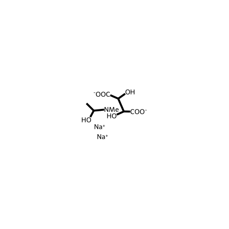 CNC(C)O.O=C([O-])C(O)C(O)C(=O)[O-].[Na+].[Na+]